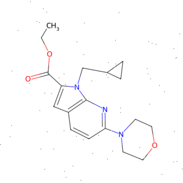 CCOC(=O)c1cc2ccc(N3CCOCC3)nc2n1CC1CC1